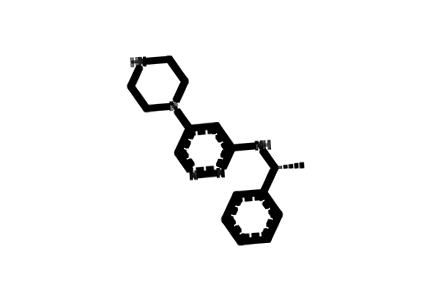 C[C@@H](Nc1cc(N2CCNCC2)cnn1)c1ccccc1